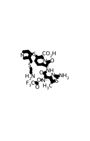 Cc1sc(N)nc1/C(=N/OC(=O)C(F)(F)F)C(=O)N[C@H]1C(=O)N2C(C(=O)O)=C(Sc3ccncc3CSCCN)CCC12